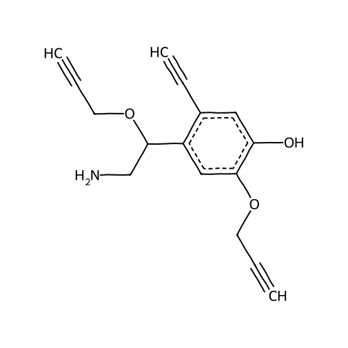 C#CCOc1cc(C(CN)OCC#C)c(C#C)cc1O